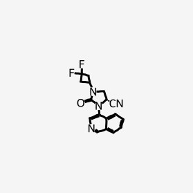 N#C[C@H]1CN(C2CC(F)(F)C2)C(=O)N1c1cncc2ccccc12